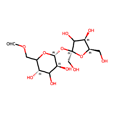 O=COCC1O[C@H](O[C@]2(CO)O[C@H](CO)[C@H](O)C2O)[C@@H](O)C(O)[C@@H]1O